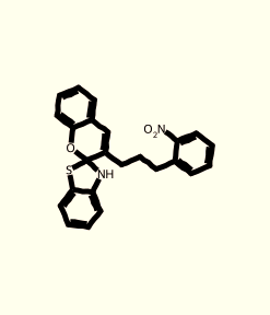 O=[N+]([O-])c1ccccc1CCCC1=Cc2ccccc2OC12Nc1ccccc1S2